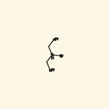 CCCC[SiH](Br)CCCC